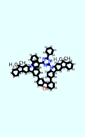 CC1(C)c2ccccc2-c2cc3c4cc(-c5ccc6oc7cccc(-c8ccc9c(c8)c8cc%10c(cc8n9-c8nc(-c9ccccc9)nc(-c9ccccc9)n8)C(C)(C)c8ccccc8-%10)c7c6c5)ccc4n(-c4ccccc4)c3cc21